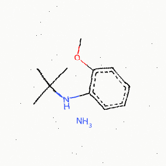 COc1ccccc1NC(C)(C)C.N